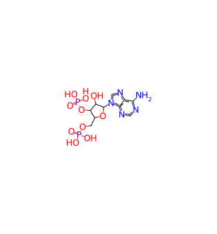 Nc1ncnc2c1ncn2C1OC(COP(=O)(O)O)C(OP(=O)(O)O)C1O